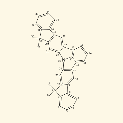 CC1(C)c2ccccc2-c2cc3c4cccc5c6cc7c(cc6n(c3cc21)c45)C(C)(C)c1ccccc1-7